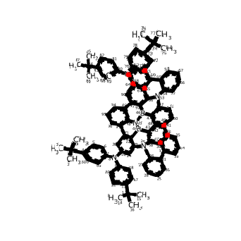 CC(C)(C)c1ccc(N(c2ccc(C(C)(C)C)cc2)c2cc3c4c(c2)N(c2ccccc2-c2ccccc2)c2ccccc2B4N2B4c5ccccc5N(c5ccccc5-c5ccccc5)c5cc(N(c6ccc(C(C)(C)C)cc6)c6ccc(C(C)(C)C)cc6)cc(c54)-c4cccc-3c42)cc1